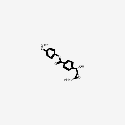 CCCCCCCCCCOc1ccc(OC(=O)c2ccc([C@H](O)[C@@H]3O[C@H]3CCCCCC)cc2)cc1